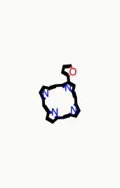 C1=CC2=NC1=CC1=NC(=CC3=NC(=CC4=NC(=C2)C=C4)C=C3c2ccco2)C=C1